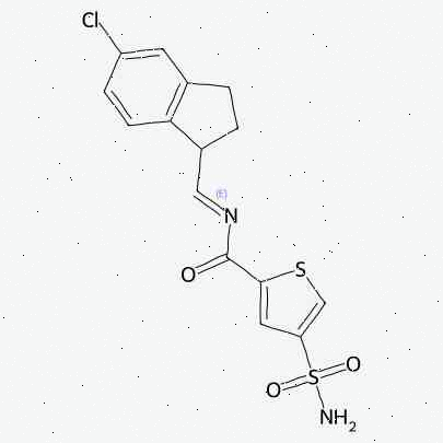 NS(=O)(=O)c1csc(C(=O)/N=C/C2CCc3cc(Cl)ccc32)c1